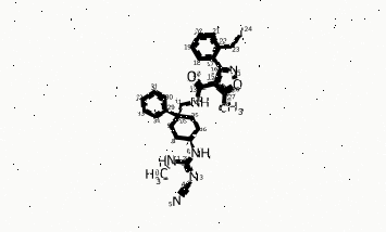 CN/C(=N\C#N)N[C@H]1CC[C@](CNC(=O)c2c(-c3ccccc3CI)noc2C)(c2ccccc2)CC1